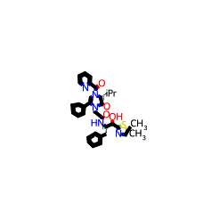 CC(C)[C@@H]1C(=O)N(CC(=O)N[C@@H](Cc2ccccc2)C(O)C2=NCC(C)(C)S2)C(c2ccccc2)=CN1C(=O)c1ccccn1